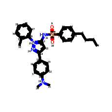 CCCCc1ccc(S(=O)(=O)Nc2cc(-c3ccc(N(C)C)cc3)nn2-c2ccccc2C)cc1